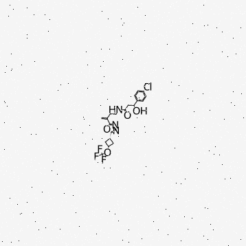 C=C(CCNC(=O)CC(O)c1ccc(Cl)cc1)c1nnc([C@H]2C[C@@H](OC(F)(F)F)C2)o1